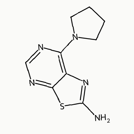 Nc1nc2c(N3CCCC3)ncnc2s1